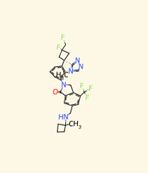 Cn1cnnc1[C@]1(c2cccc(N3Cc4c(cc(CNC5(C)CCC5)cc4C(F)(F)F)C3=O)c2)C[C@](F)(CF)C1